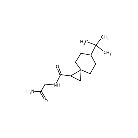 CC(C)(C)C1CCC2(CC1)CC2C(=O)NCC(N)=O